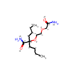 CCCCC(CCCC)(OCCOCC(N)=O)C(N)=O